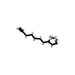 C#CCCCCCC1CCSS1